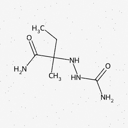 CCC(C)(NNC(N)=O)C(N)=O